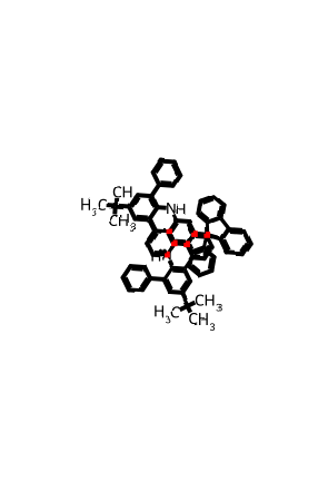 CC(C)(C)c1cc(-c2ccccc2)c(Nc2cc(Nc3c(-c4ccccc4)cc(C(C)(C)C)cc3-c3ccccc3)cc(C3(c4ccccc4)c4ccccc4-c4ccccc43)c2)c(-c2ccccc2)c1